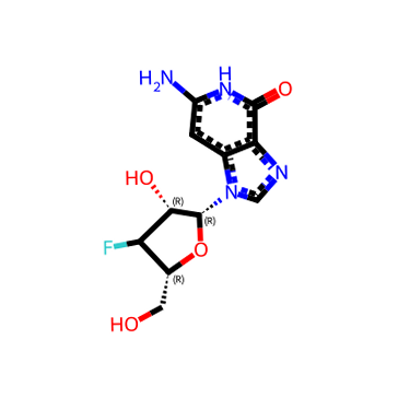 Nc1cc2c(ncn2[C@@H]2O[C@H](CO)C(F)[C@@H]2O)c(=O)[nH]1